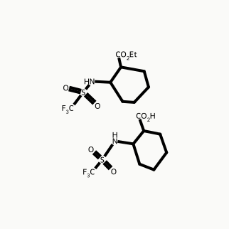 CCOC(=O)C1CCCCC1NS(=O)(=O)C(F)(F)F.O=C(O)C1CCCCC1NS(=O)(=O)C(F)(F)F